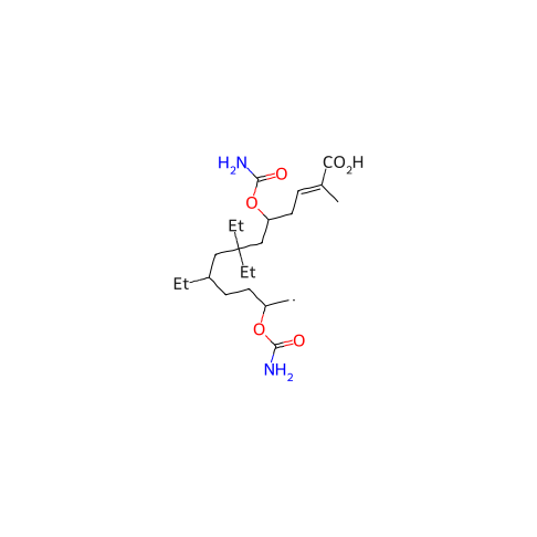 [CH2]C(CCC(CC)CC(CC)(CC)CC(CC=C(C)C(=O)O)OC(N)=O)OC(N)=O